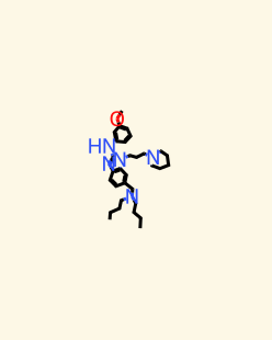 CCCCN(CCCC)Cc1ccc2nc(Nc3cccc(OC)c3)n(CCCN3CCCCC3)c2c1